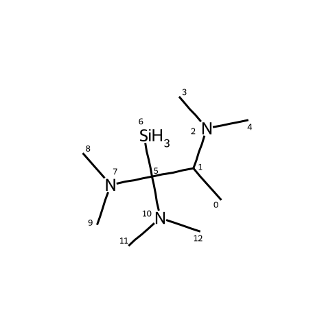 CC(N(C)C)C([SiH3])(N(C)C)N(C)C